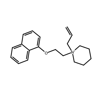 C=CC[N+]1(CCOc2cccc3ccccc23)CCCCC1